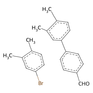 Cc1ccc(-c2ccc(C=O)cc2)cc1C.Cc1ccc(Br)cc1C